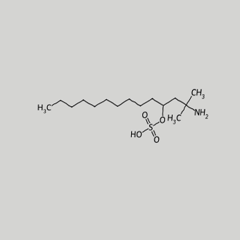 CCCCCCCCCCC(CC(C)(C)N)OS(=O)(=O)O